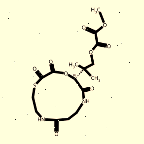 COC(=O)C(=O)OCC(C)(C)[C@H]1OC(=O)C(=O)SCCNC(=O)CCNC1=O